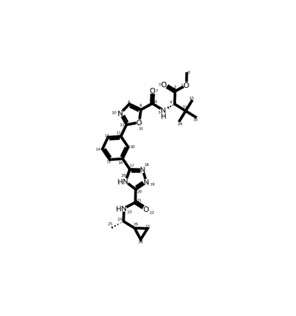 COC(=O)[C@@H](NC(=O)c1cnc(-c2cccc(-c3nnc(C(=O)N[C@@H](C)C4CC4)[nH]3)c2)o1)C(C)(C)C